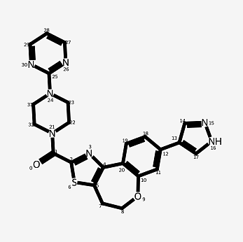 O=C(c1nc2c(s1)CCOc1cc(-c3cn[nH]c3)ccc1-2)N1CCN(c2ncccn2)CC1